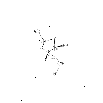 CC(C)N[C@@H]1[C@@H]2CN(C)C[C@@H]21